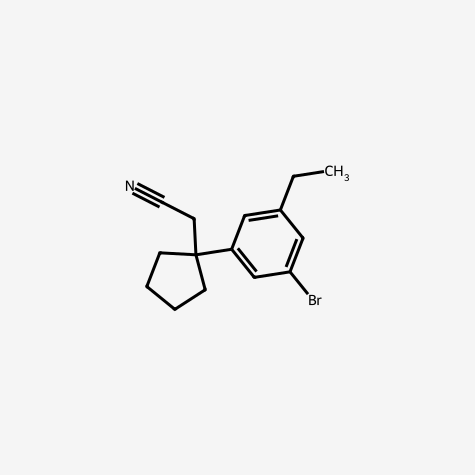 CCc1cc(Br)cc(C2(CC#N)CCCC2)c1